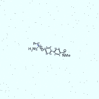 CNC(=O)c1ccc(-c2ccc(OC/C(=C/F)CN)cc2)cc1